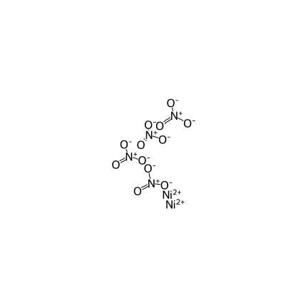 O=[N+]([O-])[O-].O=[N+]([O-])[O-].O=[N+]([O-])[O-].O=[N+]([O-])[O-].[Ni+2].[Ni+2]